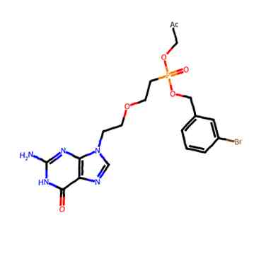 CC(=O)COP(=O)(CCOCCn1cnc2c(=O)[nH]c(N)nc21)OCc1cccc(Br)c1